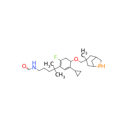 CC1(COC2CC(F)=C(C(C)(C)CCCNC=O)C=C2C2CC2)CC2CPC(C2)C1